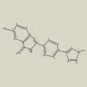 Cn1cc(-c2ccc(-c3cc4ccc(F)cc4c(=O)[nH]3)cc2)cn1